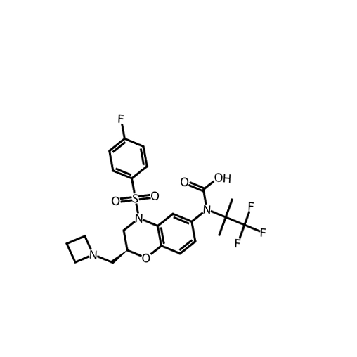 CC(C)(N(C(=O)O)c1ccc2c(c1)N(S(=O)(=O)c1ccc(F)cc1)C[C@H](CN1CCC1)O2)C(F)(F)F